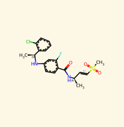 C[C@H](/C=C/S(C)(=O)=O)NC(=O)c1ccc(N[C@@H](C)c2ccccc2Cl)cc1F